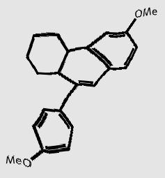 COc1ccc(C2=Cc3ccc(OC)cc3C3CCCCC23)cc1